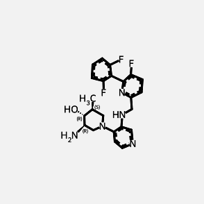 C[C@H]1CN(c2ccncc2NCc2ccc(F)c(-c3c(F)cccc3F)n2)C[C@@H](N)[C@@H]1O